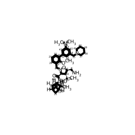 COc1c(CN2O[C@@H](CN)[C@H]([C@H](C)O)[C@H]2C(=O)N[C@H]2C[C@H]3C[C@@H]([C@@H]2C)C3(C)C)cccc1-c1cc(CN2CCCCC2)cc(N(C)C)c1